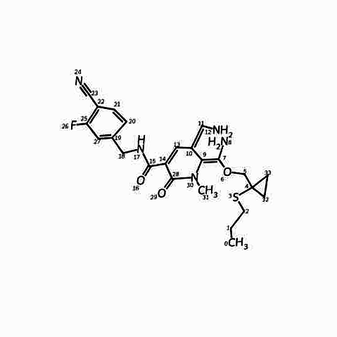 CCCSC1(CO/C(N)=c2/c(=C\N)cc(C(=O)NCc3ccc(C#N)c(F)c3)c(=O)n2C)CC1